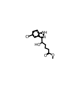 COC(=O)CCCC(O)c1n[nH]c2ccc(Cl)cc12